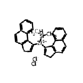 C[SiH](C)[Zr+2]([C]1=CCc2ccc3ccccc3c21)[C]1=CCc2ccc3ccccc3c21.[Cl-].[Cl-]